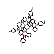 Cc1ccc(N2c3ccccc3N(c3c(N4c5ccccc5N(c5ccc(I)cc5)c5ccccc54)cc(N4c5ccccc5N(c5ccc(I)cc5)c5ccccc54)c(N4c5ccccc5N(c5ccc(I)cc5)c5ccccc54)c3C#N)c3ccccc32)cc1